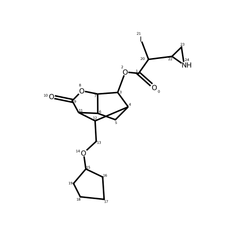 O=C(OC1C2CC3C1OC(=O)C3C2COC1CCCC1)C(I)C1CN1